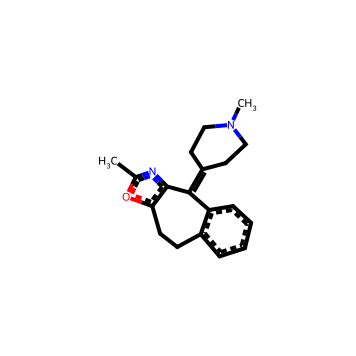 Cc1nc2c(o1)CCc1ccccc1C2=C1CCN(C)CC1